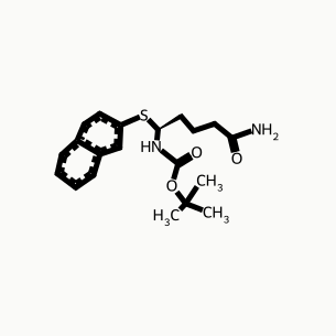 CC(C)(C)OC(=O)N[C@H](CCCC(N)=O)Sc1ccc2ccccc2c1